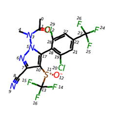 CC(=O)N(C)n1nc(C#N)c([S+]([O-])C(F)(F)F)c1-c1c(Cl)cc(C(F)(F)F)cc1Cl